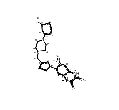 O=c1[nH]c2cc(-n3ccc(CN4CCN(c5cccc(C(F)(F)F)c5)CC4)c3)c([N+](=O)[O-])cc2[nH]c1=O